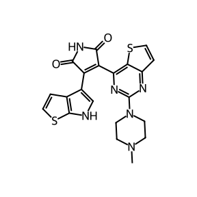 CN1CCN(c2nc(C3=C(c4c[nH]c5sccc45)C(=O)NC3=O)c3sccc3n2)CC1